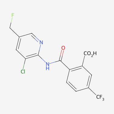 O=C(O)c1cc(C(F)(F)F)ccc1C(=O)Nc1ncc(CF)cc1Cl